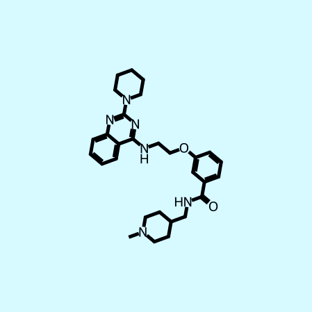 CN1CCC(CNC(=O)c2cccc(OCCNc3nc(N4CCCCC4)nc4ccccc34)c2)CC1